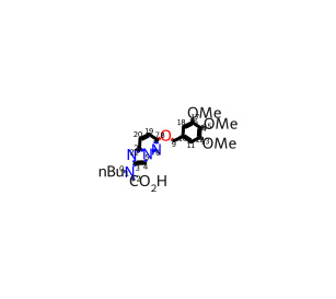 CCCCN(C(=O)O)c1cn2nc(OCc3cc(OC)c(OC)c(OC)c3)ccc2n1